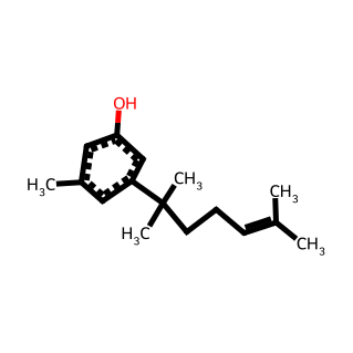 CC(C)=CCCC(C)(C)c1cc(C)cc(O)c1